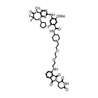 COc1cc(C(=O)NC2CCN(CCOCCOCCNc3cccc4c3C(=O)N(C3CCC(=O)NC3=O)C4=O)CC2)c(F)cc1Nc1ncc2c(n1)N(C1CCCC1)CC(F)(F)C(=O)N2C